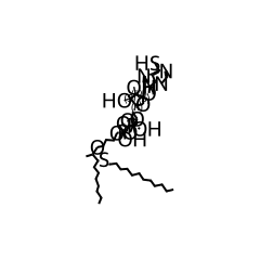 CCCCCCCCCCCCSC(CCCCCCC)C(C)OCCCOP(=O)(O)OP(=O)(O)OC[C@H]1O[C@@H](On2cnc3c(S)ncnc32)[C@H](O)[C@@H]1O